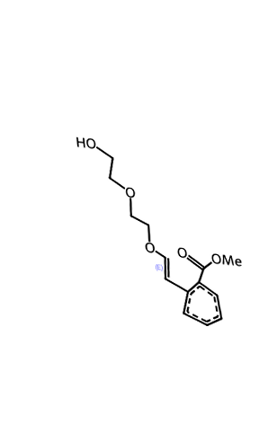 COC(=O)c1ccccc1/C=C/OCCOCCO